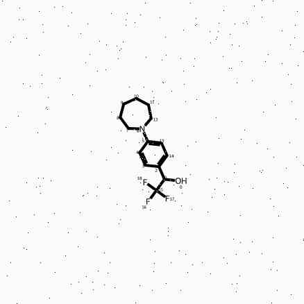 OC(c1ccc(N2CCCCCC2)cc1)C(F)(F)F